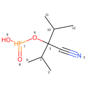 CC(C)C(C#N)(O[PH](=O)O)C(C)C